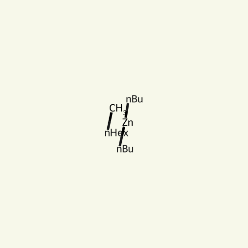 CCCCCCC.CCC[CH2][Zn][CH2]CCC